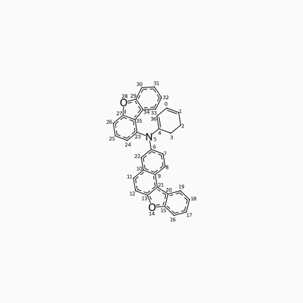 C1=CCCC(N(c2ccc3c(ccc4oc5ccccc5c43)c2)c2cccc3oc4ccccc4c23)=C1